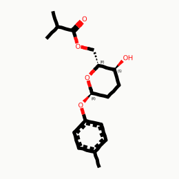 Cc1ccc(O[C@@H]2CC[C@H](O)[C@@H](COC(=O)C(C)C)O2)cc1